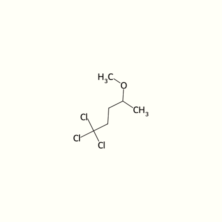 COC(C)CCC(Cl)(Cl)Cl